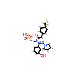 CN(C(=O)Cc1ccc(C(F)(F)F)cc1)[C@@H](CN1CCCC1)c1cccc(O)c1.CS(=O)(=O)O